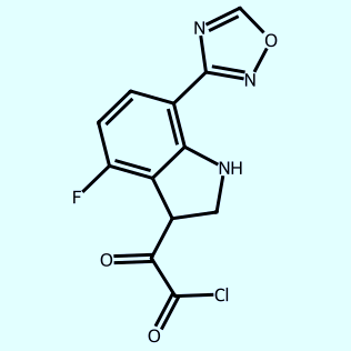 O=C(Cl)C(=O)C1CNc2c(-c3ncon3)ccc(F)c21